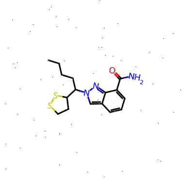 CCCCC(C1CCSS1)n1cc2cccc(C(N)=O)c2n1